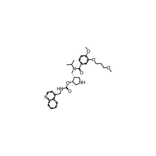 COCCCOc1cc(C(=O)N(C[C@@H]2CNC[C@H]2OC(=O)NCc2ccnc3ccccc23)C(C)C)ccc1OC